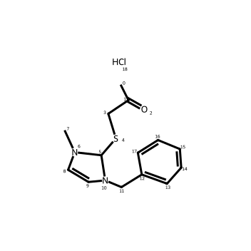 CC(=O)CSC1N(C)C=CN1Cc1ccccc1.Cl